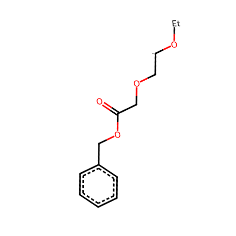 CCO[CH]COCC(=O)OCc1ccccc1